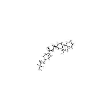 CCC(C)(C)C(=O)OC1CC2CC1CC2C(=O)OC(C)c1ccc2c(c1)c(C)cc1ccccc12